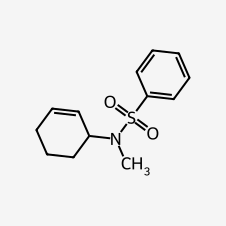 CN(C1C=CCCC1)S(=O)(=O)c1ccccc1